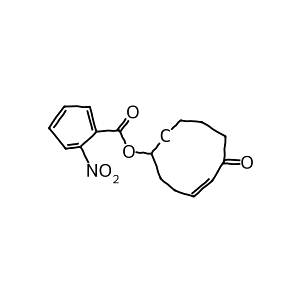 O=C1C=CCCC(OC(=O)c2ccccc2[N+](=O)[O-])CCCC1